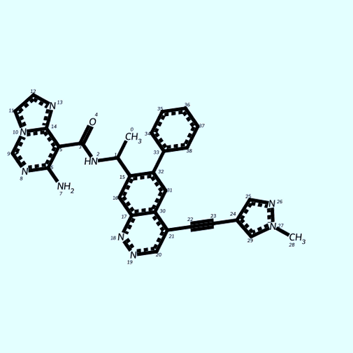 CC(NC(=O)c1c(N)ncn2ccnc12)c1cc2nncc(C#Cc3cnn(C)c3)c2cc1-c1ccccc1